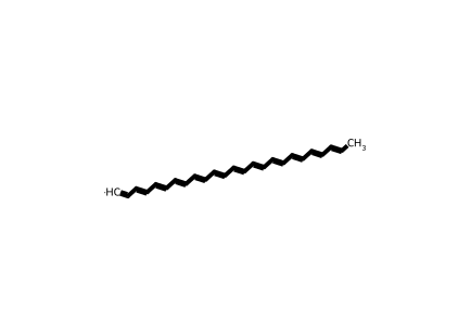 [CH]=C/C=C/C=C/C=C/C=C/C=C/C=C/C=C/C=C/C=C/C=C/C=C/C